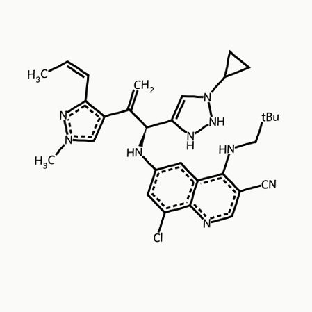 C=C(c1cn(C)nc1/C=C\C)[C@H](Nc1cc(Cl)c2ncc(C#N)c(NCC(C)(C)C)c2c1)C1=CN(C2CC2)NN1